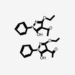 CCOc1nn(-c2ccccc2)c(O)c1C(C)=O.CCOc1nn(-c2ccccc2)c(O)c1C(C)=O